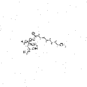 CCCCCCCCCC(=O)OOC(C)(C)CC(C)O